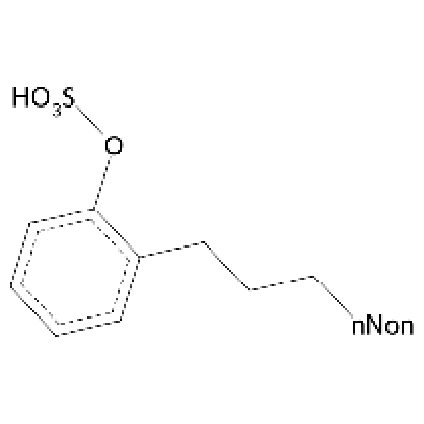 CCCCCCCCCCCCc1ccccc1OS(=O)(=O)O